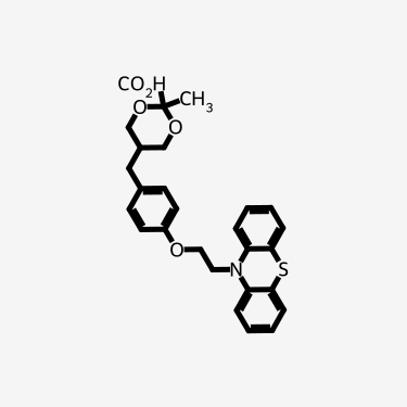 CC1(C(=O)O)OCC(Cc2ccc(OCCN3c4ccccc4Sc4ccccc43)cc2)CO1